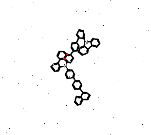 c1ccc(-c2ccccc2N(c2ccc(-c3ccc(-c4ccccc4-n4c5ccccc5c5ccccc54)cc3)cc2)c2ccc(-c3ccc(-c4cccc5ccccc45)cc3)cc2)cc1